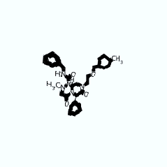 CC1CCC(COCCN2C[C@H]3N(C(=O)CN(C)N3C(=O)NCc3ccccc3)[C@@H](c3ccccc3)C2=O)CC1